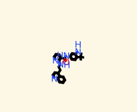 CC1(C)CNc2cc(NC(=O)c3cccnc3NCCc3ccnc4ccccc34)ccc21